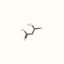 CC(C)C(C)CC(=O)S